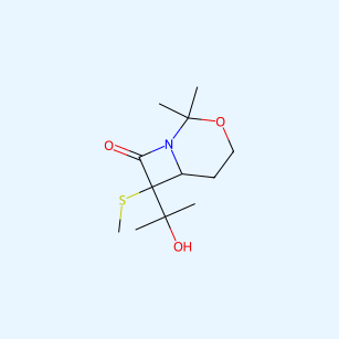 CSC1(C(C)(C)O)C(=O)N2C1CCOC2(C)C